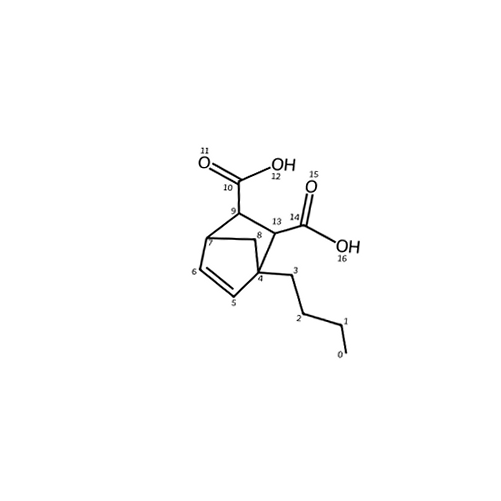 CCCCC12C=CC(C1)C(C(=O)O)C2C(=O)O